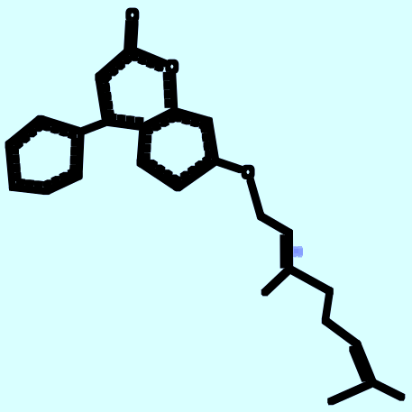 CC(C)=CCC/C(C)=C/COc1ccc2c(-c3ccccc3)cc(=O)oc2c1